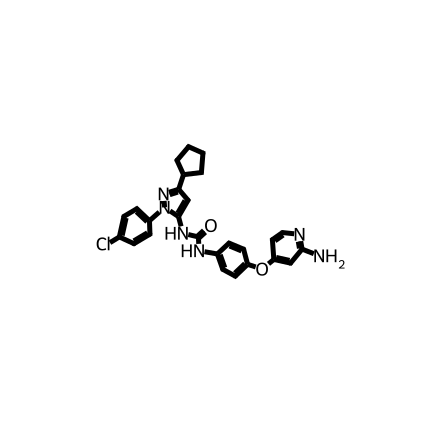 Nc1cc(Oc2ccc(NC(=O)Nc3cc(C4CCCC4)nn3-c3ccc(Cl)cc3)cc2)ccn1